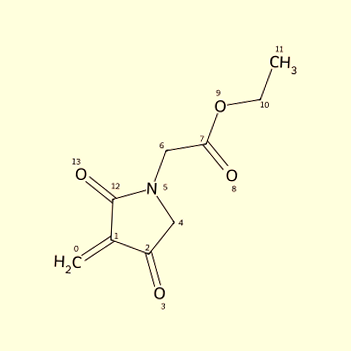 C=C1C(=O)CN(CC(=O)OCC)C1=O